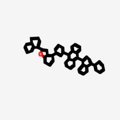 c1ccc(-c2ccc(-c3c4ccccc4c(-c4cccc(-c5cccc6oc(-c7cccc8ccccc78)cc56)c4)c4ccccc34)c3ccccc23)cc1